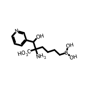 NC(CCCCB(O)O)(C(=O)O)C(O)c1cccnc1